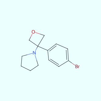 Brc1ccc(C2(N3CCCC3)COC2)cc1